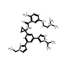 CCn1ccc(-c2cc(-c3cnn(C(C)C)c3)cc(C3(NC(=O)c4cc(OCCN(C)C)ccc4C)CC3)c2)n1